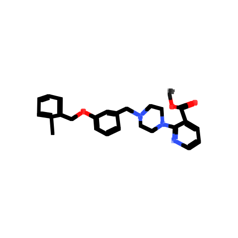 Cc1ccccc1COc1cccc(CN2CCN(c3ncccc3C(=O)OC(C)C)CC2)c1